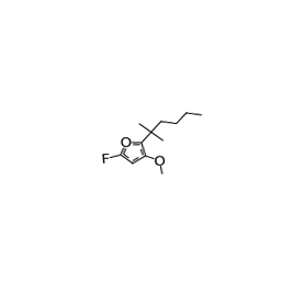 CCCCC(C)(C)c1oc(F)cc1OC